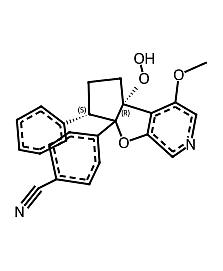 COc1cncc2c1[C@]1(OO)CC[C@@H](c3ccccc3)C1(c1ccc(C#N)cc1)O2